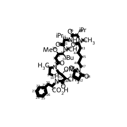 CC[C@H](C)[C@@H]([C@@H](CC(=O)N1[C@@H](C)CC[C@H]1[C@H](OC)[C@@H](C)C(=O)N[C@@H](Cc1ccccc1)C(=O)O)OC)N(C)C(=O)[C@@H](NC(=O)[C@H](C(C)C)N(C)C(=O)CCCCCN1C(=O)C=CC1=O)C(C)C